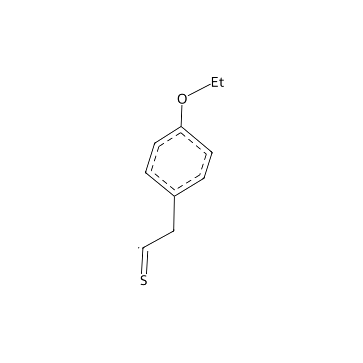 CCOc1ccc(C[C]=S)cc1